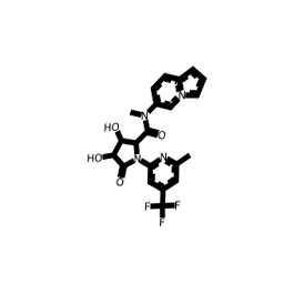 Cc1cc(C(F)(F)F)cc(N2C(=O)C(O)C(O)C2C(=O)N(C)c2ccc3cccn3c2)n1